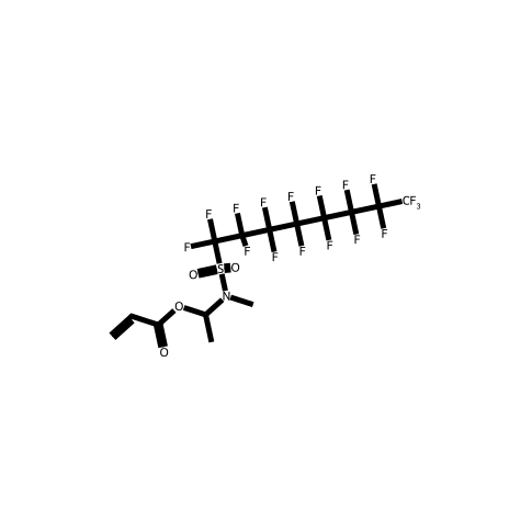 C=CC(=O)OC(C)N(C)S(=O)(=O)C(F)(F)C(F)(F)C(F)(F)C(F)(F)C(F)(F)C(F)(F)C(F)(F)C(F)(F)F